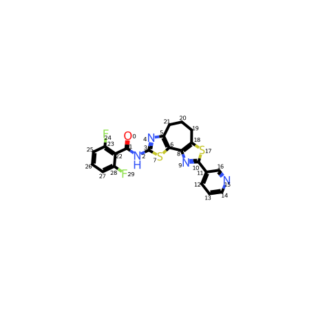 O=C(Nc1nc2c(s1)-c1nc(-c3cccnc3)sc1CCC2)c1c(F)cccc1F